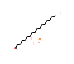 CCCCCCCCCCCCCCCCC[C](=O)[Na].O=P(O)(O)O